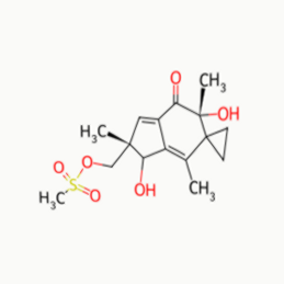 CC1=C2C(=C[C@@](C)(COS(C)(=O)=O)C2O)C(=O)[C@](C)(O)C12CC2